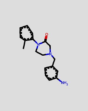 Cc1ccccc1N1CCN(Cc2cccc(N)c2)CC1=O